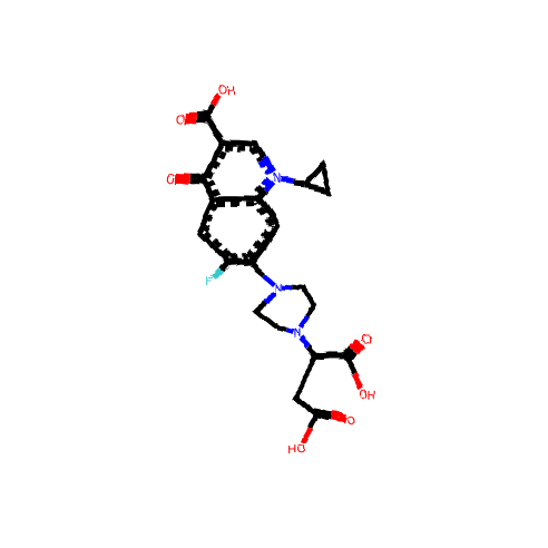 O=C(O)CC(C(=O)O)N1CCN(c2cc3c(cc2F)c(=O)c(C(=O)O)cn3C2CC2)CC1